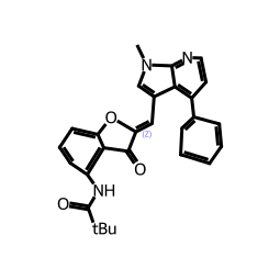 Cn1cc(/C=C2\Oc3cccc(NC(=O)C(C)(C)C)c3C2=O)c2c(-c3ccccc3)ccnc21